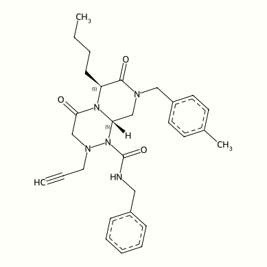 C#CCN1CC(=O)N2[C@@H](CCCC)C(=O)N(Cc3ccc(C)cc3)C[C@@H]2N1C(=O)NCc1ccccc1